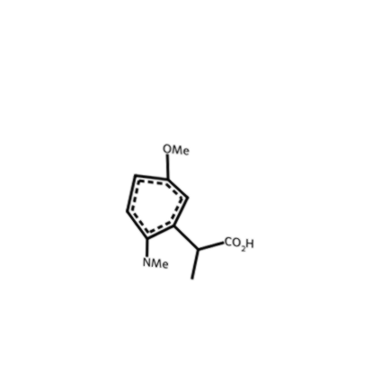 CNc1ccc(OC)cc1C(C)C(=O)O